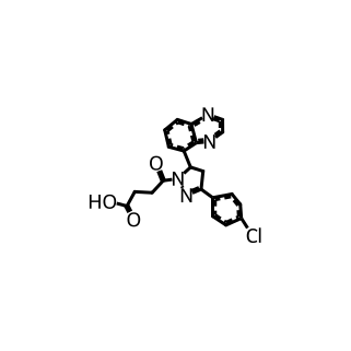 O=C(O)CCC(=O)N1N=C(c2ccc(Cl)cc2)CC1c1cccc2nccnc12